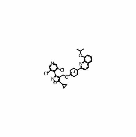 CC(C)Oc1cccc2ccc(C34CCC(OCc5c(-c6c(Cl)cncc6Cl)noc5C5CC5)(CC3)CC4)nc12